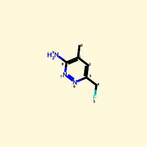 Cc1cc(CF)nnc1N